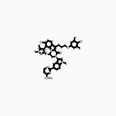 COc1ccnc(-c2ccc3c(c2)c(N2CC(C)n4c(c(CCCOc5cc(C)c(Cl)c(C)c5)c5ccc(Cl)c(-c6c(C)nn(C)c6C)c54)C2=O)cn3C)n1